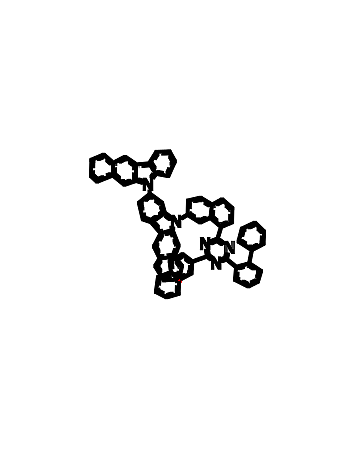 c1ccc(-c2ccccc2-c2nc(-c3ccc4ccccc4c3)nc(-c3cccc4ccc(-n5c6cc(-n7c8ccccc8c8cc9ccccc9cc87)ccc6c6cc7ccccc7cc65)cc34)n2)cc1